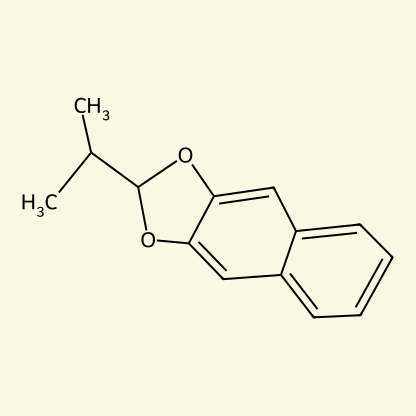 CC(C)C1Oc2cc3ccccc3cc2O1